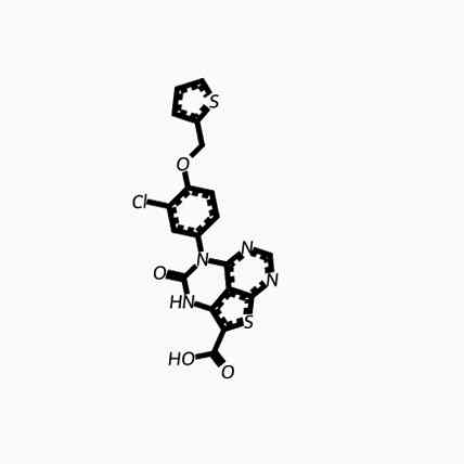 O=C(O)c1sc2ncnc3c2c1NC(=O)N3c1ccc(OCc2cccs2)c(Cl)c1